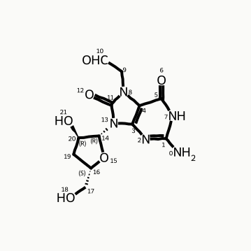 Nc1nc2c(c(=O)[nH]1)n(CC=O)c(=O)n2[C@@H]1O[C@H](CO)C[C@H]1O